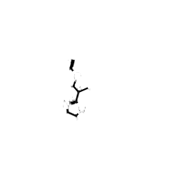 C=COCC(C)C1=NCCO1